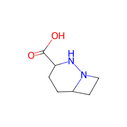 O=C(O)C1CCC2CCN2N1